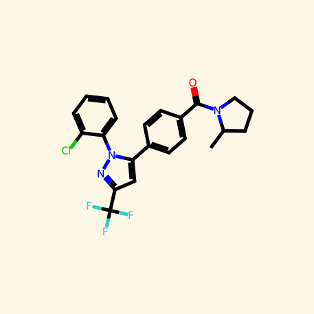 CC1CCCN1C(=O)c1ccc(-c2cc(C(F)(F)F)nn2-c2ccccc2Cl)cc1